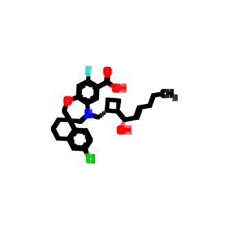 CCC/C=C/[C@H](O)[C@@H]1CC[C@H]1CN1C[C@@]2(CCCc3cc(Cl)ccc32)COc2cc(F)c(C(=O)O)cc21